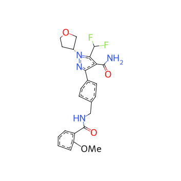 COc1ccccc1C(=O)NCc1ccc(-c2nn([C@@H]3CCOC3)c(C(F)F)c2C(N)=O)cc1